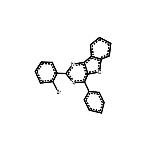 Brc1ccccc1-c1nc(-c2ccccc2)c2oc3ccccc3c2n1